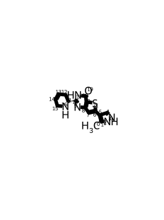 Cc1[nH]ncc1-c1cc2nc([C@H]3CC=CCN3)[nH]c(=O)c2s1